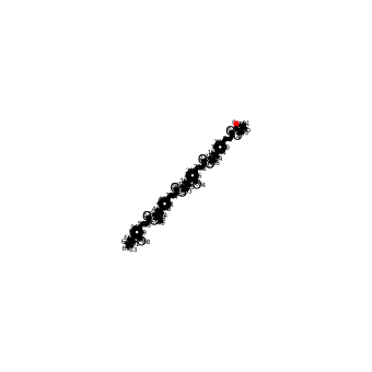 CCC(C)(OC(=O)CCc1ccc(C(C)(C)C(C)(C)OC(=O)CCc2ccc(C(C)(C)C(C)(C)OC(=O)/C=C/c3ccc(C(C)(C)C(C)(CC)OC(=O)/C=C/c4ccc(C(C)(C)C(C)(C)C)c(OC)c4)cc3)c(OC)c2)cc1)C(C)(C)C